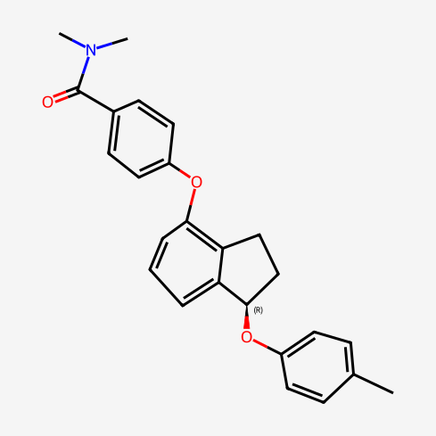 Cc1ccc(O[C@@H]2CCc3c(Oc4ccc(C(=O)N(C)C)cc4)cccc32)cc1